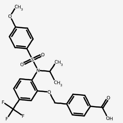 COc1ccc(S(=O)(=O)N(c2ccc(C(F)(F)F)cc2OCc2ccc(C(=O)O)cc2)C(C)C)cc1